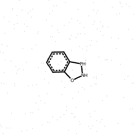 c1ccc2c(c1)ONP2